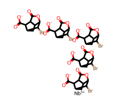 O=C([O-])C1C2CC3C(OC(=O)C31)C2Br.O=C([O-])C1C2CC3C(OC(=O)C31)C2Br.O=C([O-])C1C2CC3C(OC(=O)C31)C2Br.O=C([O-])C1C2CC3C(OC(=O)C31)C2Br.O=C([O-])C1C2CC3C(OC(=O)C31)C2Br.[Nb+5]